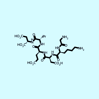 CC(C)[C@H](NC(=O)[C@H](CCC(=O)O)NC(=O)[C@H](CC(=O)O)NC(=O)[C@H](CCCCN)NC(=O)CN)C(=O)N[C@@H](CC(=O)O)C(=O)O